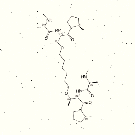 CN[C@@H](C)C(=O)N[C@H](C(=O)N1CCC[C@H]1C)[C@@H](C)OCCCCCCO[C@H](C)[C@H](NC(=O)[C@H](C)NC)C(=O)N1CCC[C@H]1C